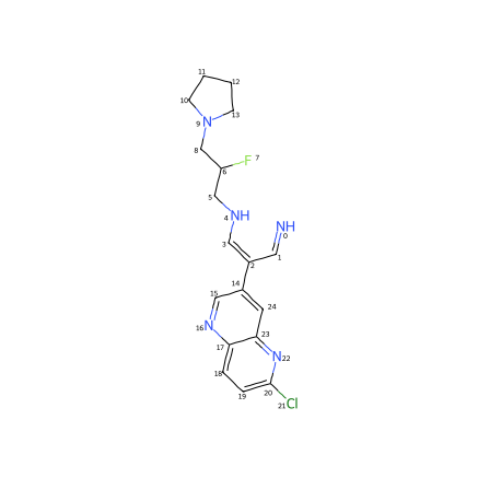 N=C/C(=C\NCC(F)CN1CCCC1)c1cnc2ccc(Cl)nc2c1